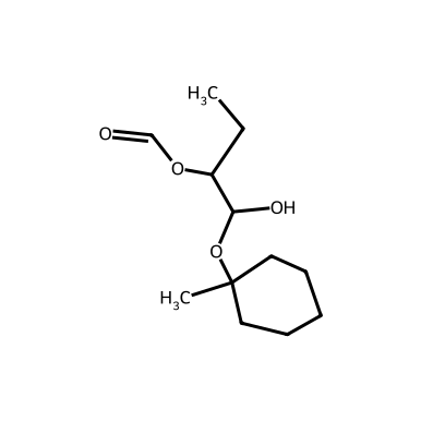 CCC(OC=O)C(O)OC1(C)CCCCC1